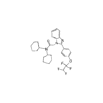 O=C(Cn1c(-c2ccc(OC(F)(F)C(F)F)cc2)nc2ccccc21)N(C1CCCCC1)C1CCCCC1